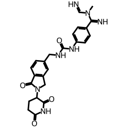 CN(C=N)C(=N)c1ccc(NC(=O)NCc2ccc3c(c2)CN(C2CCC(=O)NC2=O)C3=O)cc1